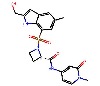 Cc1cc(S(=O)(=O)N2CC[C@H]2C(=O)Nc2ccn(C)c(=O)c2)c2[nH]c(CO)cc2c1